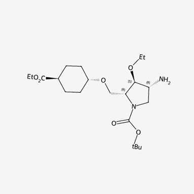 CCOC(=O)[C@H]1CC[C@H](OC[C@@H]2[C@@H](OCC)[C@H](N)CN2C(=O)OC(C)(C)C)CC1